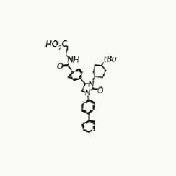 CC(C)(C)C1CCC(N2C(=O)N(c3ccc(-c4ccccc4)cc3)CC2c2ccc(C(=O)NCCC(=O)O)cc2)CC1